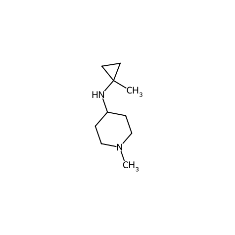 CN1CCC(NC2(C)CC2)CC1